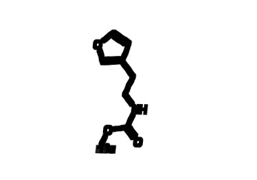 CCCCOC(=O)NCCc1ccoc1